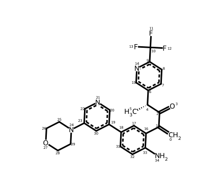 C=C(C(=O)[C@H](C)c1ccc(C(F)(F)F)nc1)c1cc(-c2cncc(N3CCOCC3)c2)ccc1N